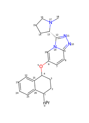 CCCC1CCC(Oc2ccc3nnc([C@@H]4CCCN4C)n3c2)c2ccccc21